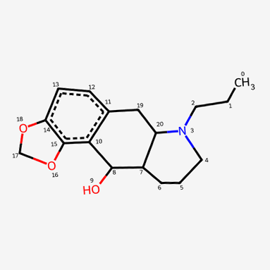 CCCN1CCCC2C(O)c3c(ccc4c3OCO4)CC21